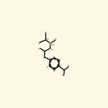 CC(Cc1ccc(C(C)C)cc1)CN(C)C(C)C